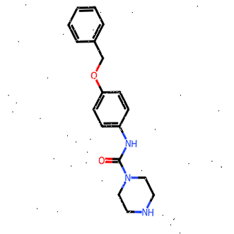 O=C(Nc1ccc(OCc2ccccc2)cc1)N1CCNCC1